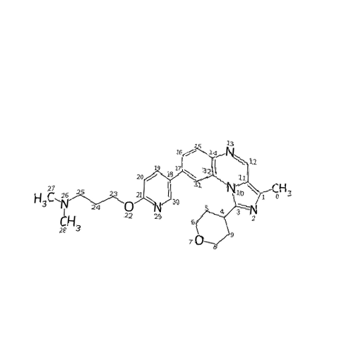 Cc1nc(C2CCOCC2)n2c1cnc1ccc(-c3ccc(OCCCN(C)C)nc3)cc12